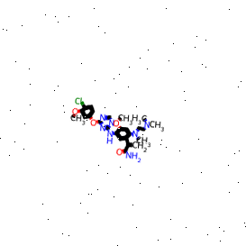 C=C(C(N)=O)c1cc(Nc2ncnc(Oc3ccc(Cl)c(OC)c3)n2)c(OC)cc1N(C)CCN(C)C